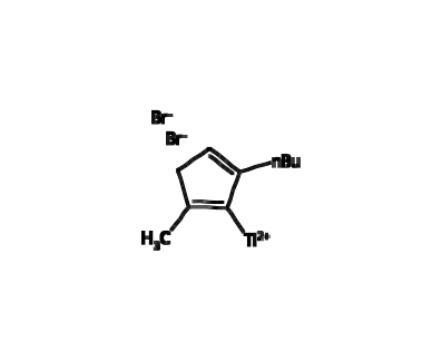 CCCCC1=CCC(C)=[C]1[Ti+2].[Br-].[Br-]